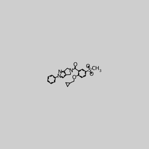 CS(=O)(=O)c1ccc(OCC2CC2)c(C(=O)N2Cc3cn(-c4ccccc4)nc3C2)c1